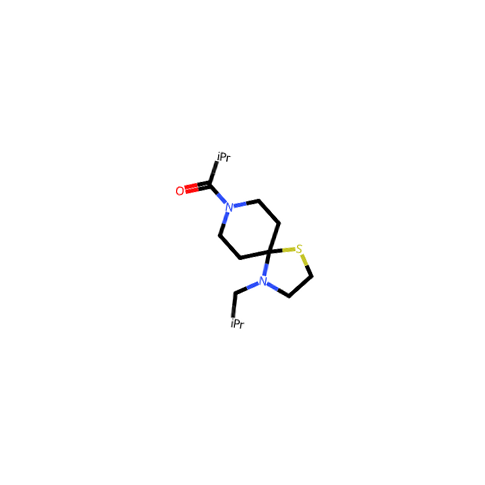 CC(C)CN1CCSC12CCN(C(=O)C(C)C)CC2